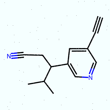 C#Cc1cncc(C(CC#N)C(C)C)c1